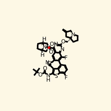 C=C1CN2CCC[C@@]2(COc2nc(N3C[C@H]4CC[C@@H](C3)N4C(=O)O)c3cc(Cl)c(-c4ccc(F)c5sc(NC(=O)OC(C)(C)C)c(C#N)c45)c(F)c3n2)C1